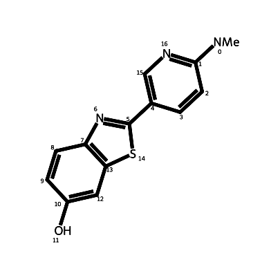 CNc1ccc(-c2nc3ccc(O)cc3s2)cn1